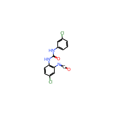 O=C=Nc1cc(Cl)ccc1NC(=O)Nc1cccc(Cl)c1